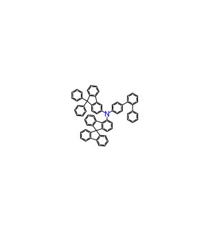 c1ccc(-c2ccccc2-c2ccc(N(c3ccc4c(c3)-c3ccccc3C4(c3ccccc3)c3ccccc3)c3cccc4c3-c3ccccc3C43c4ccccc4-c4ccccc43)cc2)cc1